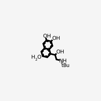 CC(C)(C)NCC(O)c1cccc2cc(O)c(O)cc12.O